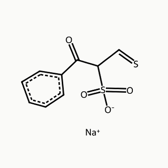 O=C(c1ccccc1)C(C=S)S(=O)(=O)[O-].[Na+]